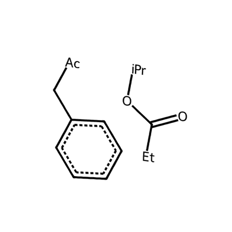 CC(=O)Cc1ccccc1.CCC(=O)OC(C)C